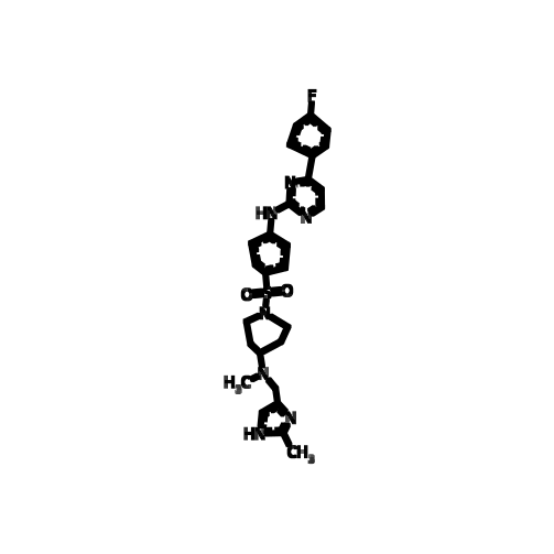 Cc1nc(CN(C)C2CCN(S(=O)(=O)c3ccc(Nc4nccc(-c5ccc(F)cc5)n4)cc3)CC2)c[nH]1